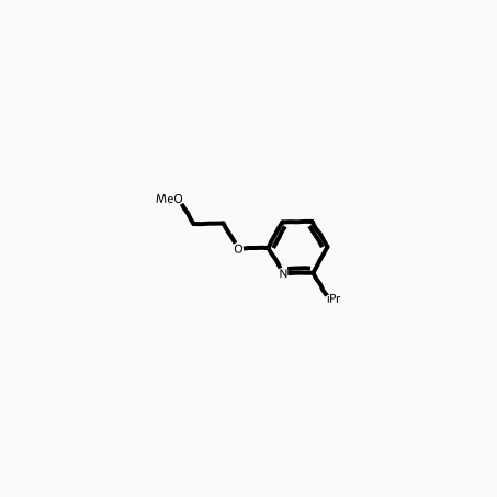 COCCOc1cccc(C(C)C)n1